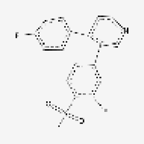 CS(=O)(=O)c1ccc(-c2cnccc2-c2ccc(F)cc2)cc1F